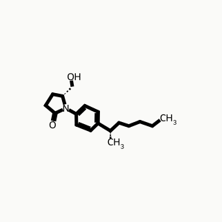 CCCCC[C@H](C)c1ccc(N2C(=O)CC[C@@H]2CO)cc1